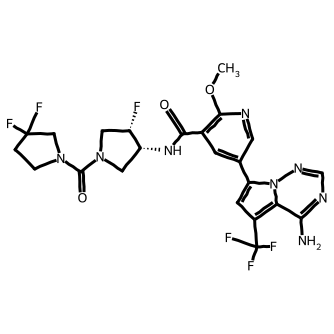 COc1ncc(-c2cc(C(F)(F)F)c3c(N)ncnn23)cc1C(=O)N[C@@H]1CN(C(=O)N2CCC(F)(F)C2)C[C@@H]1F